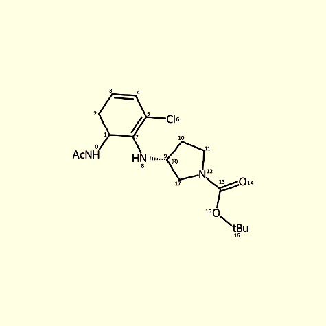 CC(=O)NC1CC=CC(Cl)=C1N[C@@H]1CCN(C(=O)OC(C)(C)C)C1